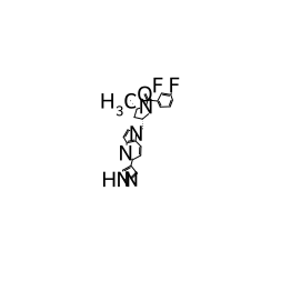 C[C@H]1C[C@@H](Cn2ccc3nc(-c4cn[nH]c4)ccc32)CN1C(=O)c1cccc(F)c1F